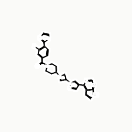 O=C(c1ccc(-c2nccs2)c(F)c1)N1CCC(N2CC(n3cc(-c4ncnc5[nH]ccc45)cn3)C2)CC1